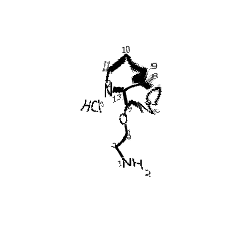 Cl.NCCOc1noc2cccnc12